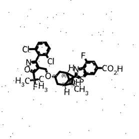 C[C@H]1C[C@@H]2C[C@@H](OCc3c(-c4c(Cl)cccc4Cl)noc3C(C)(C)F)C[C@H]1[C@]2(O)c1nc2c(F)cc(C(=O)O)cc2s1